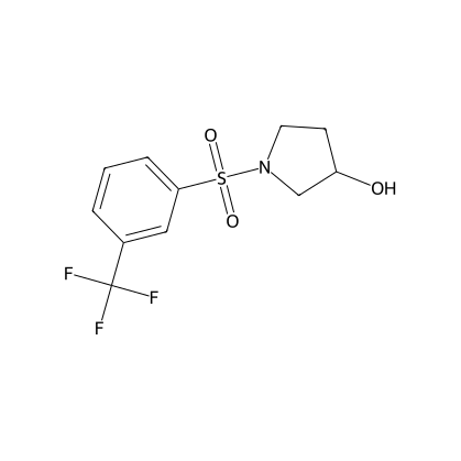 O=S(=O)(c1cccc(C(F)(F)F)c1)N1CCC(O)C1